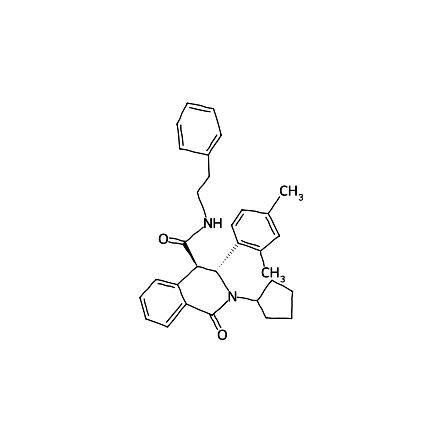 Cc1ccc([C@H]2[C@H](C(=O)NCCc3ccccc3)c3ccccc3C(=O)N2C2CCCC2)c(C)c1